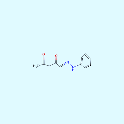 CC(=O)CC(=O)C=NNc1ccccc1